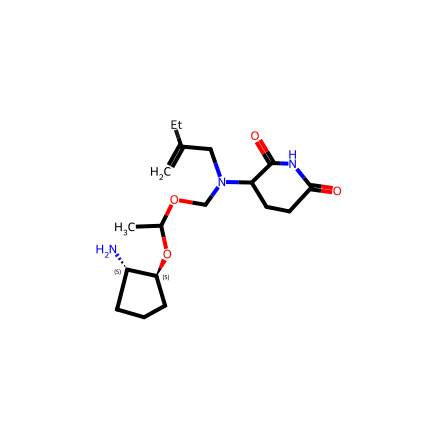 C=C(CC)CN(COC(C)O[C@H]1CCC[C@@H]1N)C1CCC(=O)NC1=O